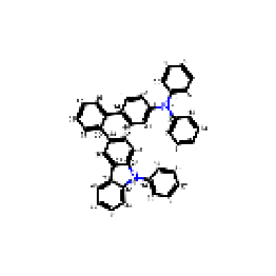 c1ccc(N(c2ccccc2)c2ccc(-c3ccccc3-c3ccc4c(c3)c3ccccc3n4-c3ccccc3)cc2)cc1